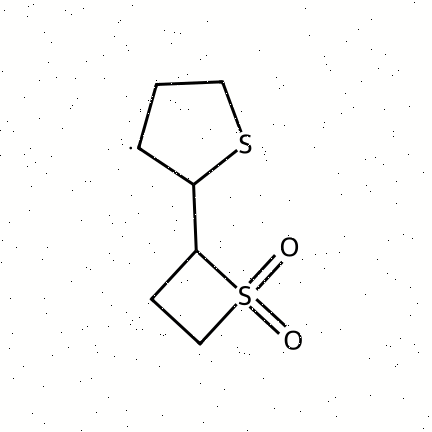 O=S1(=O)CCC1C1[CH]CCS1